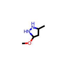 COC1CC(C)NN1